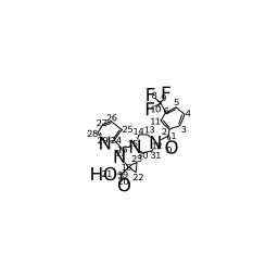 O=C(c1cccc(C(F)(F)F)c1)N1CCN(C(=NC2(C(=O)O)CC2)c2ccccn2)CC1